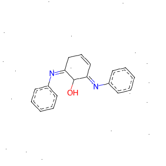 OC1/C(=N\c2ccccc2)CC=C/C1=N\c1ccccc1